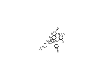 COc1cc(Nc2c(C#N)cnc3c(Cl)cc(N[C@H](C4=CN(C5CCN(C(C)(C)C)CC5)NN4)c4ccc(Cl)cc4)cc23)c(Cl)cc1Cl